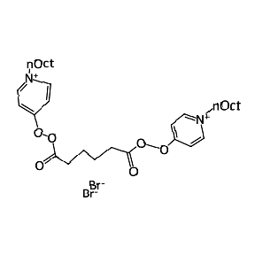 CCCCCCCC[n+]1ccc(OOC(=O)CCCCC(=O)OOc2cc[n+](CCCCCCCC)cc2)cc1.[Br-].[Br-]